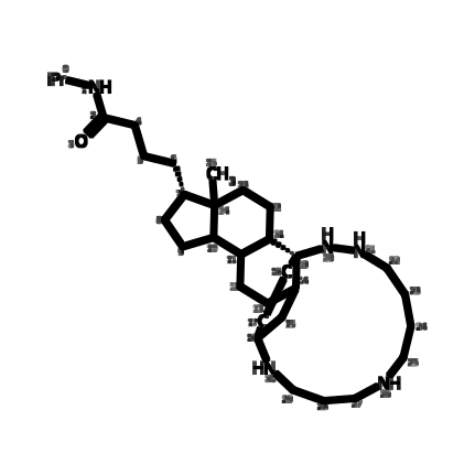 CC(C)NC(=O)CCC[C@H]1CCC2C3CCC4CC5CC[C@]4(NNCCCCNCCCN5)C3CCC21C